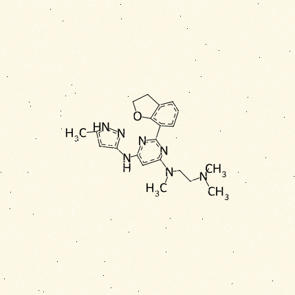 Cc1cc(Nc2cc(N(C)CCN(C)C)nc(-c3cccc4c3OCC4)n2)n[nH]1